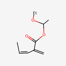 C=C(/C=C\C)C(=O)OC(C)OCC